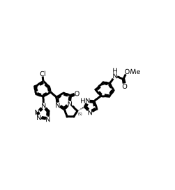 COC(=O)Nc1ccc(-c2cnc([C@@H]3CCc4nc(-c5cc(Cl)ccc5-n5cnnn5)cc(=O)n43)[nH]2)cc1